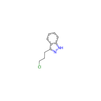 ClCCCc1n[nH]c2ccccc12